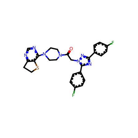 O=C(Cn1nc(-c2ccc(F)cc2)nc1-c1ccc(F)cc1)N1CCN(c2ncnc3c2SCC3)CC1